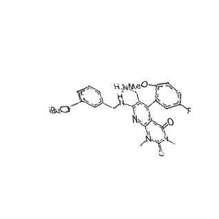 COc1ccc(F)cc1-c1c(CN)c(NCc2cccc(OCC(C)C)c2)nc2c1c(=O)n(C)c(=O)n2C